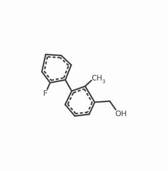 Cc1c(CO)cccc1-c1ccccc1F